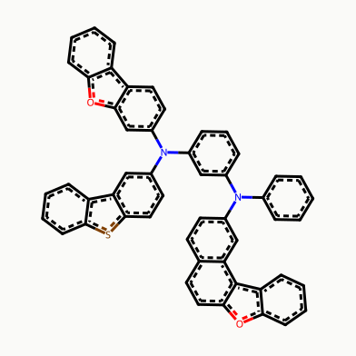 c1ccc(N(c2cccc(N(c3ccc4c(c3)oc3ccccc34)c3ccc4sc5ccccc5c4c3)c2)c2ccc3ccc4oc5ccccc5c4c3c2)cc1